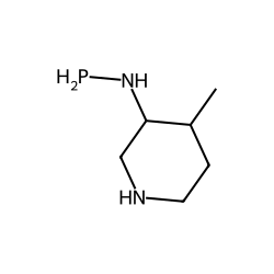 CC1CCNCC1NP